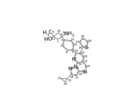 CC1(O)CC(N)(c2ccc(-c3nc4c(cnc5cc(C6CC6)nn54)cc3-c3cccs3)cc2)C1